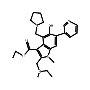 CCOC(=O)c1c(CN(C)CC)n(C)c2cc(-c3cccnc3)c(O)c(CN3CCCC3)c12